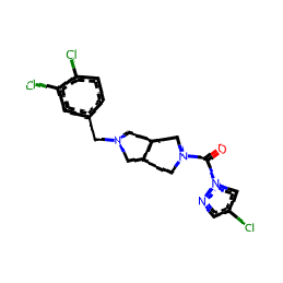 O=C(N1CC2CN(Cc3ccc(Cl)c(Cl)c3)CC2C1)n1cc(Cl)cn1